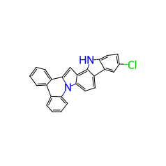 Clc1ccc2[nH]c3c(ccc4c3cc3c5ccccc5c5ccccc5n34)c2c1